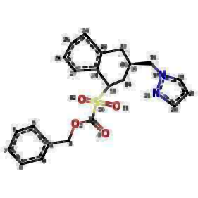 O=C(OCc1ccccc1)S(=O)(=O)C1C[C@H](Cn2cccn2)Cc2ccccc21